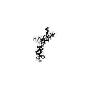 CCCCNC(=O)N(CCCC)CC(CSc1nc2ccc(C(=O)OC)cc2s1)NC(N)=O